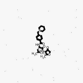 CC(C)C[C@H](NC(=O)c1ccc(CN2CCCCC2)cc1)C(=O)N[C@@H]1C(=O)CO[C@@H]1C